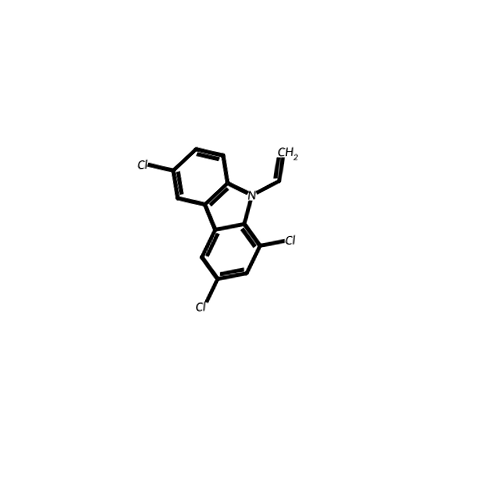 C=Cn1c2ccc(Cl)cc2c2cc(Cl)cc(Cl)c21